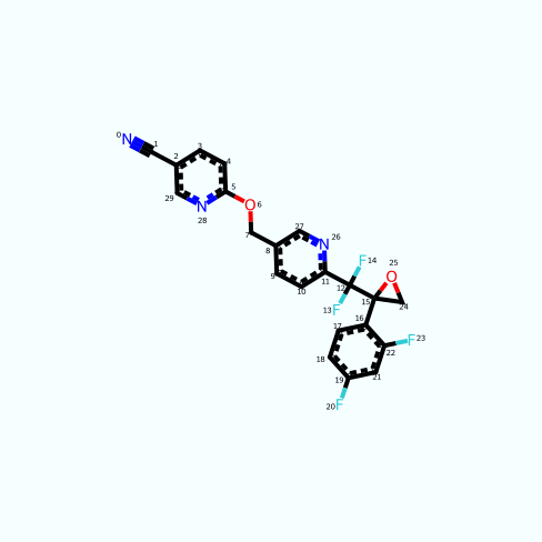 N#Cc1ccc(OCc2ccc(C(F)(F)C3(c4ccc(F)cc4F)CO3)nc2)nc1